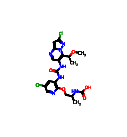 CO[C@@H](C)c1c(NC(=O)Nc2cc(Cl)cnc2OCC(C)NC(=O)O)cnc2cc(Cl)nn12